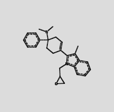 Cc1c(C2=CCC(c3ccccc3)(N(C)C)CC2)n(CC2CO2)c2ccccc12